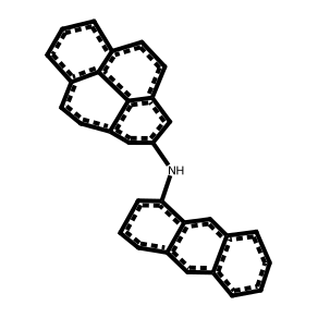 c1ccc2cc3c(Nc4cc5ccc6cccc7ccc(c4)c5c67)cccc3cc2c1